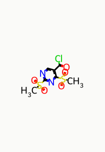 CS(=O)(=O)c1ncc(C(=O)Cl)c(S(C)(=O)=O)n1